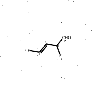 O=CC(F)C=CF